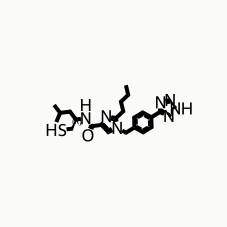 CCCCc1nc(C(=O)N[C@@H](CS)CC(C)C)cn1Cc1ccc(-c2nn[nH]n2)cc1